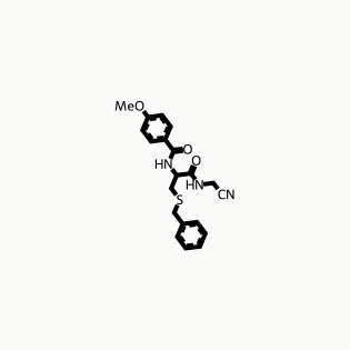 COc1ccc(C(=O)NC(CSCc2ccccc2)C(=O)NCC#N)cc1